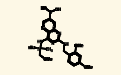 CCCC[C@](C)(COC)Nc1nc(NCc2ccc(OC)cc2OC)nc2cc(B(O)O)cnc12